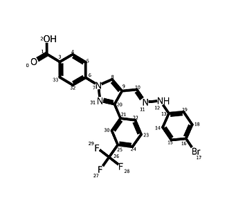 O=C(O)c1ccc(-n2cc(/C=N/Nc3ccc(Br)cc3)c(-c3cccc(C(F)(F)F)c3)n2)cc1